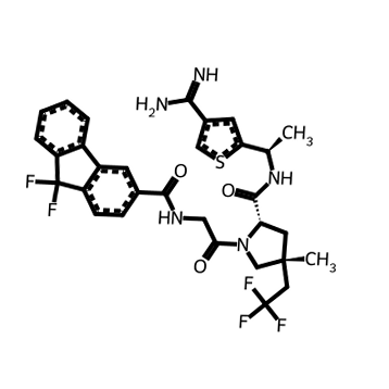 C[C@@H](NC(=O)[C@@H]1C[C@](C)(CC(F)(F)F)CN1C(=O)CNC(=O)c1ccc2c(c1)-c1ccccc1C2(F)F)c1cc(C(=N)N)cs1